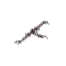 CNCCCCOCCOCCOCCOCCC(=O)NCCCCC(NC(=O)CCOCCOCCOCCOCCNC)C(=O)NC(CCCCNC(=O)CCOCCOCCOCCOCCNC)C(N)=O